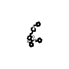 O=C1C(=CCC2CCN(Cc3ccccc3)CC2)CCc2nc3ccccc3c(NCc3ccccc3)c21